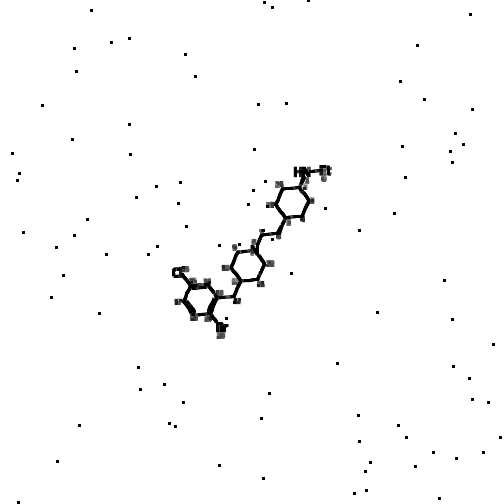 CCN[C@H]1CC[C@@H](CCN2CCC(Cc3cc(Cl)ccc3Br)CC2)CC1